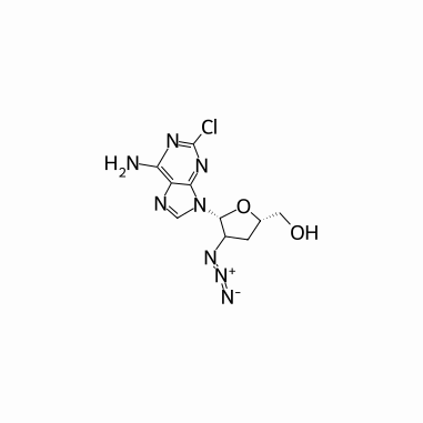 [N-]=[N+]=NC1C[C@@H](CO)O[C@H]1n1cnc2c(N)nc(Cl)nc21